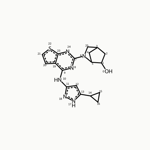 OC1CC2CC1N(c1nc(Nc3cc(C4CC4)[nH]n3)c3ccsc3n1)C2